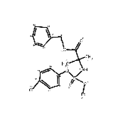 CCOP(=O)(NC(C)(C)C(=O)OCc1ccccc1)Oc1ccc(Cl)cc1